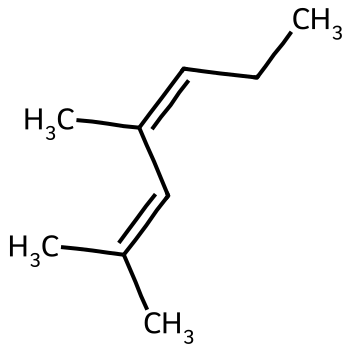 CCC=C(C)C=C(C)C